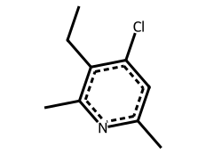 CCc1c(Cl)cc(C)nc1C